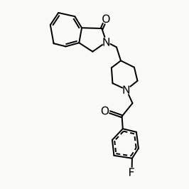 O=C(CN1CCC(CN2CC3=CCC=CC=C3C2=O)CC1)c1ccc(F)cc1